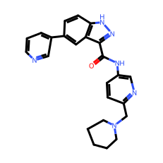 O=C(Nc1ccc(CN2CCCCC2)nc1)c1n[nH]c2ccc(-c3cccnc3)cc12